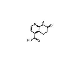 O=C1CSc2c(C(=O)O)ccnc2N1